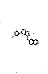 Cn1cc(-c2cnc3nnn(Cc4ccc5cnccc5c4)c3n2)cn1